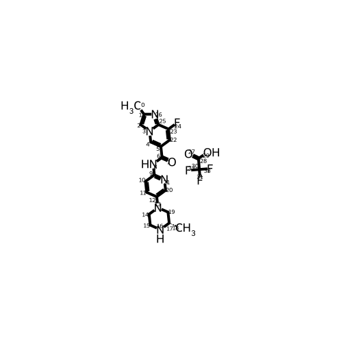 Cc1cn2cc(C(=O)Nc3ccc(N4CCN[C@@H](C)C4)cn3)cc(F)c2n1.O=C(O)C(F)(F)F